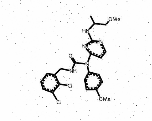 COCC(C)Nc1nccc(N(C(=O)NCc2cccc(Cl)c2Cl)c2ccc(OC)cc2)n1